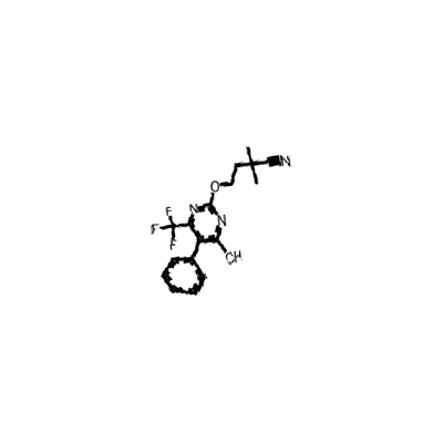 CC(C)(C#N)CCOc1nc(O)c(-c2ccccc2)c(C(F)(F)F)n1